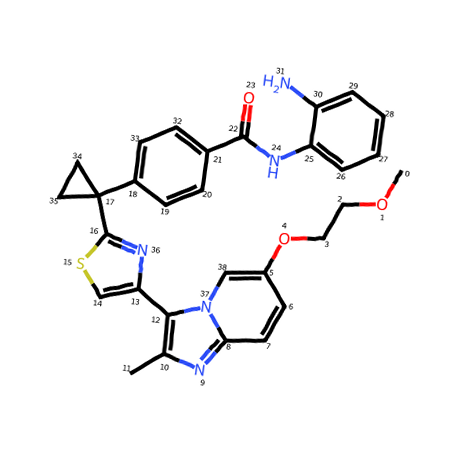 COCCOc1ccc2nc(C)c(-c3csc(C4(c5ccc(C(=O)Nc6ccccc6N)cc5)CC4)n3)n2c1